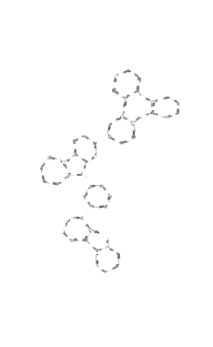 c1cc(-c2cccc3c2sc2ccccc23)cc(-n2c3ccccc3c3ccc(-c4ccc5c6ccccc6c6ccccc6c5c4)cc32)c1